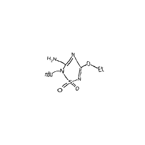 CCCCN1C(N)=NC(OCC)=NS1(=O)=O